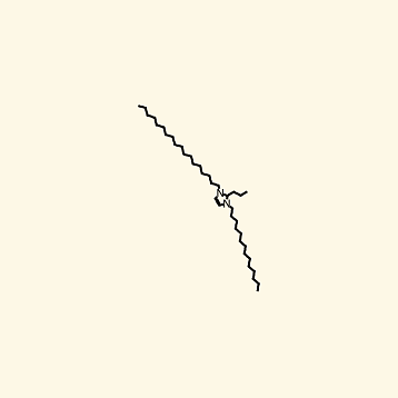 CCCCCCCCCCCCCCCCCCN1C=CN(CCCCCCCCCCCCCC)C1CCC